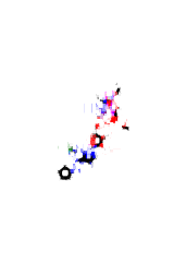 CCOC(=O)[C@H](C)NP(=O)(COC[C@H]1O[C@@H](n2ccc3c(NC4CCCC4)nc(Cl)nc32)[C@H](O)[C@@H]1O)N[C@@H](C)C(=O)OCC